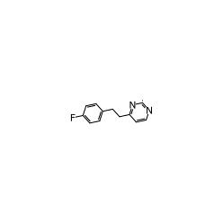 Fc1ccc(CCc2ccn[c]n2)cc1